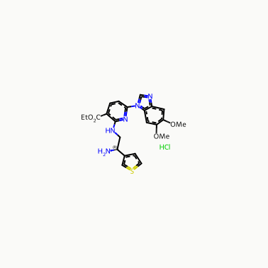 CCOC(=O)c1ccc(-n2cnc3cc(OC)c(OC)cc32)nc1NC[C@H](N)c1ccsc1.Cl